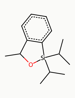 CC1O[Si](C(C)C)(C(C)C)c2ccccc21